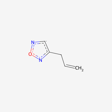 C=CCc1[c]non1